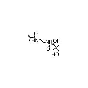 C=C(C)C(=O)NCCNC(=O)[C@@H](O)C(C)(C)CO